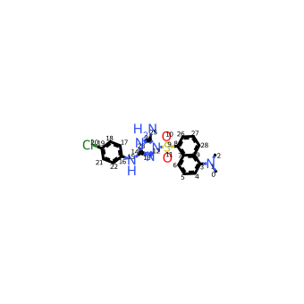 CN(C)c1cccc2c(S(=O)(=O)n3nc(Nc4ccc(Cl)cc4)nc3N)cccc12